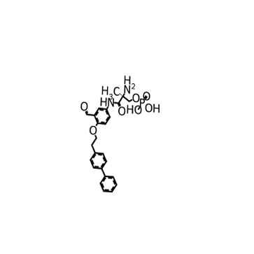 C[C@](N)(COP(=O)(O)O)C(=O)Nc1ccc(OCCc2ccc(-c3ccccc3)cc2)c(C=O)c1